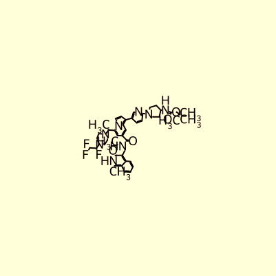 Cc1c(C(=O)NCc2c(=O)[nH]c(C)c3ccccc23)cc2c(-c3ccc(N4CCC(NC(=O)OC(C)(C)C)CC4)nc3)ccn2c1C(C)N1CCN(C(F)C(F)F)CC1